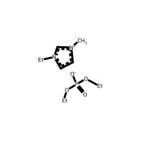 CCOP(=O)([O-])OCC.CCn1cc[n+](C)c1